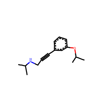 CC(C)NCC#Cc1cccc(OC(C)C)c1